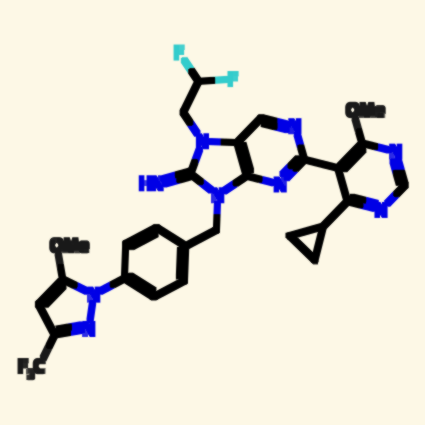 COc1ncnc(C2CC2)c1-c1ncc2c(n1)n(Cc1ccc(-n3nc(C(F)(F)F)cc3OC)cc1)c(=N)n2CC(F)F